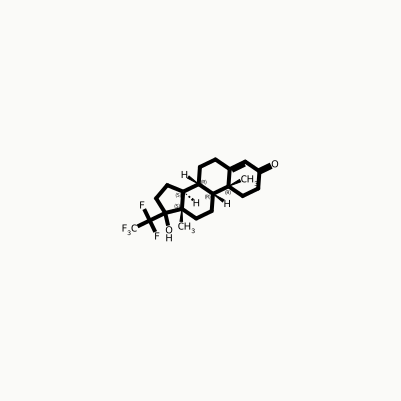 C[C@]12CCC(=O)C=C1CC[C@@H]1[C@H]2CC[C@@]2(C)[C@H]1CCC2(O)C(F)(F)C(F)(F)F